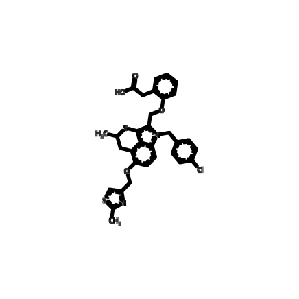 Cc1nc(COc2ccc3c4c2CC(C)Sc4c(COc2ccccc2CC(=O)O)n3Cc2ccc(Cl)cc2)cs1